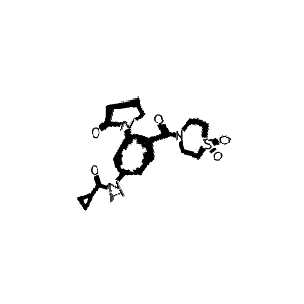 O=C(Nc1ccc(C(=O)N2CCS(=O)(=O)CC2)c(N2CCCC2=O)c1)C1CC1